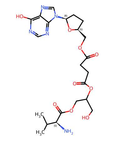 CC(C)[C@H](N)C(=O)OCC(CO)OC(=O)CCC(=O)OC[C@@H]1CC[C@H](n2cnc3c(O)ncnc32)O1